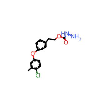 Cc1cc(Oc2ccc(CCOC(=O)NN)cc2)ccc1Cl